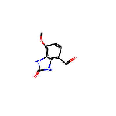 COc1ccc(C=O)c2[nH]c(=O)[nH]c12